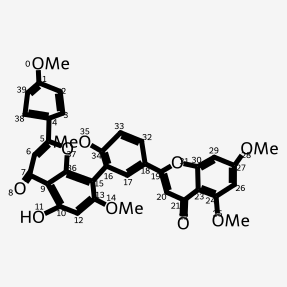 COc1ccc(-c2cc(=O)c3c(O)cc(OC)c(-c4cc(-c5cc(=O)c6c(OC)cc(OC)cc6o5)ccc4OC)c3o2)cc1